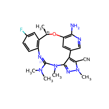 C[C@H]1Oc2cc(cnc2N)-c2c(nn(C)c2C#N)N(C)/C(N(C)C)=N\c2ccc(F)cc21